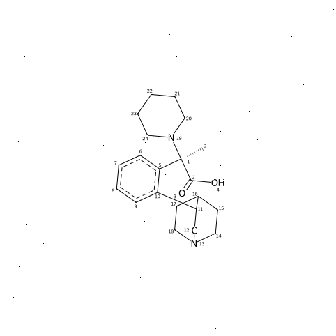 C[C@](C(=O)O)(c1ccccc1C1CN2CCC1CC2)N1CCCCC1